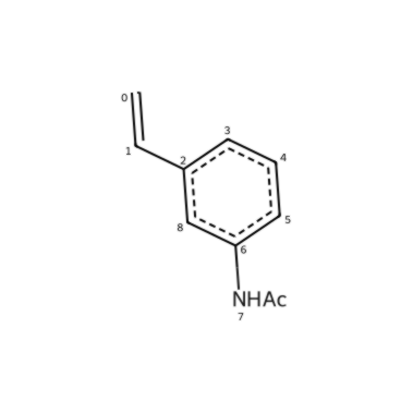 [CH]=Cc1cccc(NC(C)=O)c1